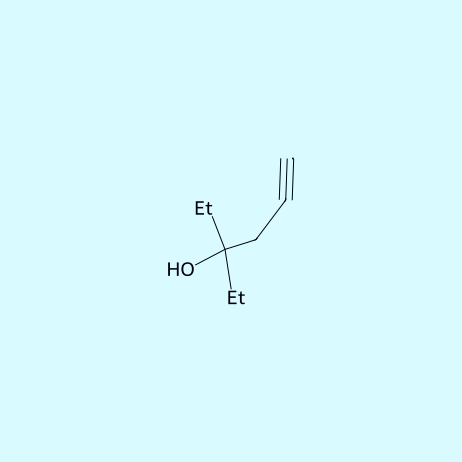 [C]#CCC(O)(CC)CC